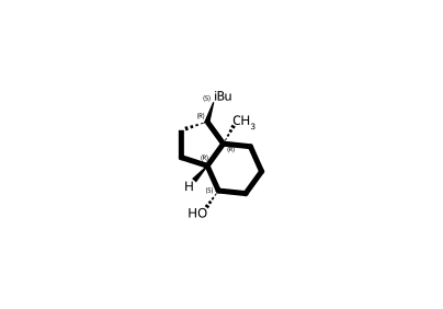 CC[C@H](C)[C@H]1CC[C@H]2[C@@H](O)CCC[C@]12C